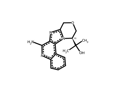 CC(C)(O)[C@@H]1COCc2nc3c(N)nc4ccccc4c3n21